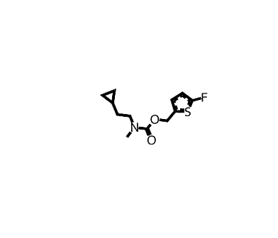 CN(CCC1CC1)C(=O)OCc1ccc(F)s1